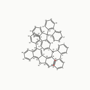 c1ccc(-c2ccccc2N(c2ccc3c(c2)C(c2ccccc2)(c2ccccc2)c2ccccc2-3)c2cccc3oc4c5ccccc5c(-c5ccccc5)cc4c23)cc1